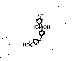 COc1ccc(C(C)(O)C(C)(O)c2ccc(Oc3ccc(C(C)(C)O)cc3)cc2)cc1